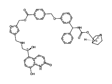 O=C(NC(c1ccccc1)c1cccc(OCc2ccc(C(=O)OCc3cc(CNC[C@@H](O)c4ccc(O)c5[nH]c(=O)ccc45)co3)cc2)c1)O[C@H]1CN2CCC1CC2